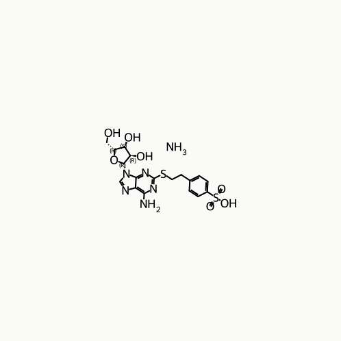 N.Nc1nc(SCCc2ccc(S(=O)(=O)O)cc2)nc2c1ncn2[C@@H]1O[C@H](CO)[C@@H](O)[C@H]1O